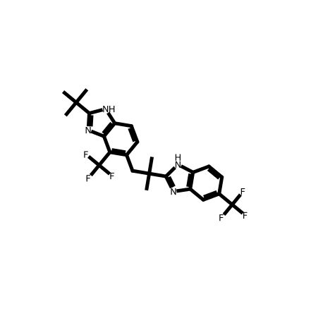 CC(C)(C)c1nc2c(C(F)(F)F)c(CC(C)(C)c3nc4cc(C(F)(F)F)ccc4[nH]3)ccc2[nH]1